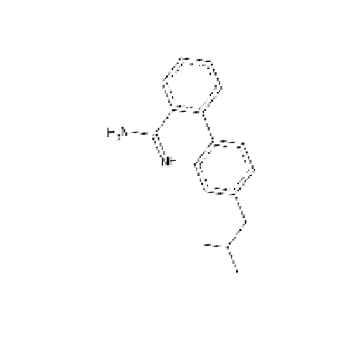 CC(C)Cc1ccc(-c2ccccc2C(=N)N)cc1